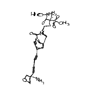 CC(CCN1Cc2cc(C#CC#CC3(N)COC3)cn2C1=O)(C(=O)NO)S(C)(=O)=O